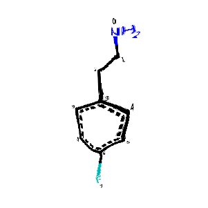 NC[CH]c1ccc(F)cc1